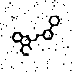 CCCCOc1c(C)c(COc2cccc(N3CCCCC3)c2)nc2ccccc12